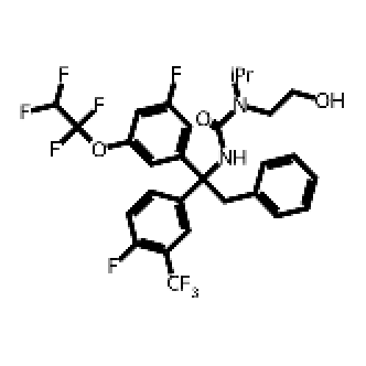 CC(C)N(CCO)C(=O)NC(Cc1ccccc1)(c1cc(F)cc(OC(F)(F)C(F)F)c1)c1ccc(F)c(C(F)(F)F)c1